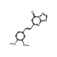 COc1ccc(/C=C/c2cc(=O)n3ncsc3n2)cc1OC